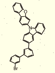 Brc1cccc(-c2cccc(-c3ccc4c(c3)c3ccccc3n4-c3ccc4c(c3)oc3ccccc34)c2)c1